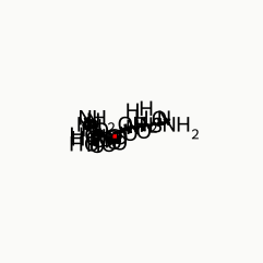 CC(N)(N)CC(=O)SCCNC(=O)CCNC(=O)C(O)C(C)(C)COP(=O)(O)OP(=O)(O)OC[C@H]1O[C@@H](n2cnc3c(N)ncnc32)[C@H](O)[C@@H]1OP(=O)(O)O